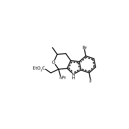 CCCC1(CC(=O)OCC)OC(C)Cc2c1[nH]c1c(F)ccc(Br)c21